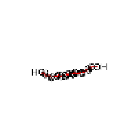 O=C(CCC(=O)OCCCOC(=O)C1=CC=C(OCCCOC(=O)CCC(=O)OCCCCCCOC(=O)C2C=CC(c3ccc(OC(=O)c4ccc(OCCCCCCO)cc4)cc3)CC2)CC1)OCCCCCCOC(=O)c1ccc([C@@H]2C=CC(OC(=O)c3ccc(O)cc3)=CC2)cc1